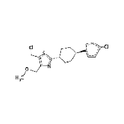 COCc1nc([C@H]2CC[C@H](c3ccc(Cl)cc3)CC2)sc1CCl